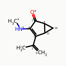 C=C(C)C1=C(NC)C(=O)C2CC12